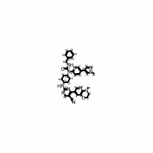 CN1CCOc2cc(-c3nc(N[C@H]4CC[C@H](N(C(=O)NCc5ccccc5)c5ccc(-c6cnn(C)c6)cn5)CC4)ncc3C#N)cnc21